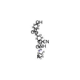 Cc1ccncc1/C=C/C(=O)Nc1sc2c(c1C#N)CCC(COC(=O)N1CCC(O)CC1)C2